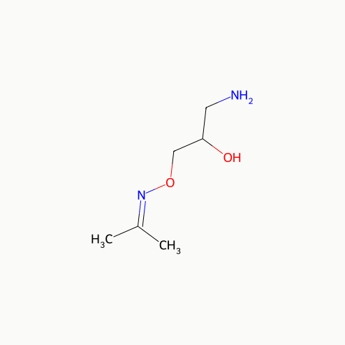 CC(C)=NOCC(O)CN